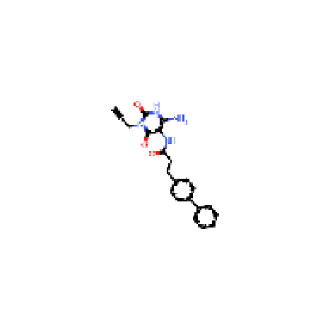 C#CCn1c(=O)[nH]c(N)c(NC(=O)CCc2ccc(-c3ccccc3)cc2)c1=O